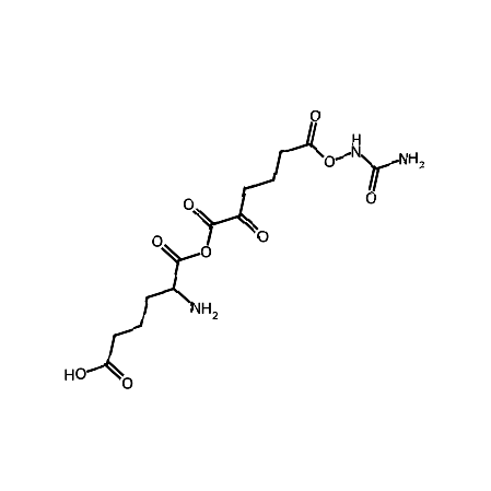 NC(=O)NOC(=O)CCCC(=O)C(=O)OC(=O)C(N)CCCC(=O)O